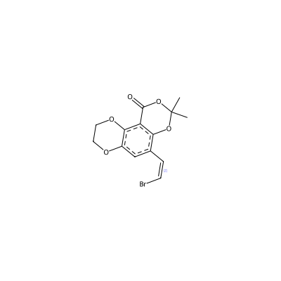 CC1(C)OC(=O)c2c(c(/C=C\Br)cc3c2OCCO3)O1